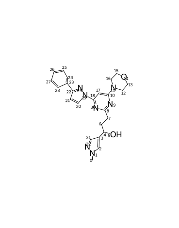 Cn1cc(C(O)CCc2nc(N3CCOCC3)cc(-n3ccc(-c4ccccc4)n3)n2)cn1